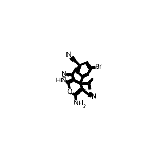 Cc1n[nH]c2c1C(c1cc(Br)cc(C#N)c1)(C(C)C)C(C#N)=C(N)O2